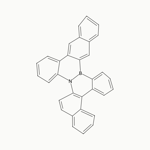 c1ccc2c(c1)B1c3cc4ccccc4cc3-c3ccccc3N1c1ccc3ccccc3c1-2